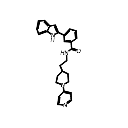 O=C(NCCC1CCN(c2ccncc2)CC1)c1cccc(-c2cc3ccccc3[nH]2)c1